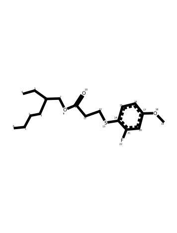 CCCCC(CC)COC(=O)CCSc1ccc(OC)cc1F